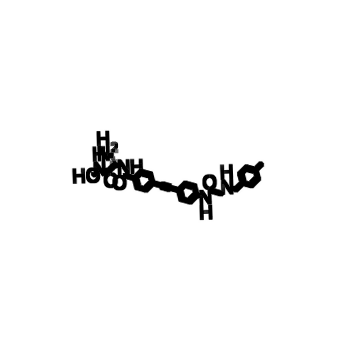 Cc1ccc(CNCC(=O)Nc2ccc(C#Cc3ccc(C(=O)N[C@@H](CN)C(=O)NO)cc3)cc2)cc1